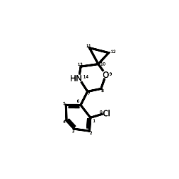 Clc1ccccc1C1COC2(CC2)CN1